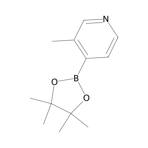 Cc1cnccc1B1OC(C)(C)C(C)(C)O1